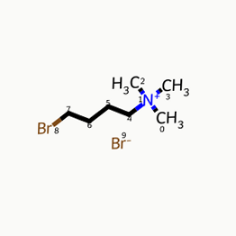 C[N+](C)(C)CCCCBr.[Br-]